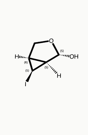 O[C@H]1OC[C@@H]2[C@H](I)[C@@H]21